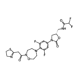 O=C(NC[C@H]1CN(c2cc(F)c(N3CCON(C(=O)CC4=NCCS4)CC3)c(F)c2)C(=O)O1)C(F)F